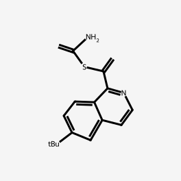 C=C(N)SC(=C)c1nccc2cc(C(C)(C)C)ccc12